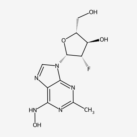 Cc1nc(NO)c2ncn([C@@H]3O[C@H](CO)[C@@H](O)[C@@H]3F)c2n1